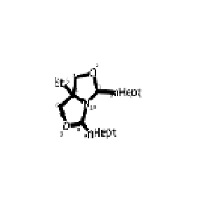 CCCCCCCC1OCC2(CC)COC(CCCCCCC)N12